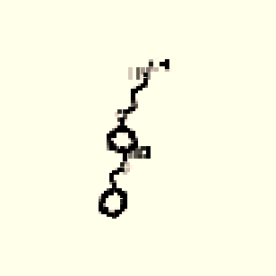 CNCCCOc1ccc(OCc2ccccc2)cc1.Cl